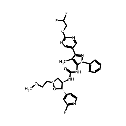 COCCN1C[C@@H](NC(=O)Nc2c(C)c(-c3cnc(OCC(F)F)nc3)nn2-c2ccccc2)[C@H](c2ccnc(F)c2)O1